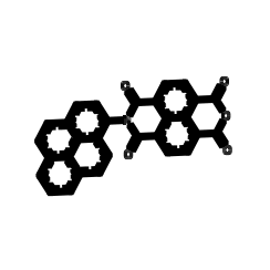 O=C1OC(=O)c2ccc3c4c(ccc1c24)C(=O)N(c1ccc2ccc4cccc5ccc1c2c45)C3=O